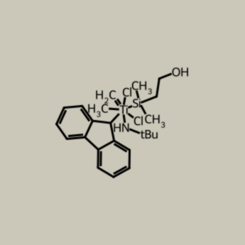 [CH2]=[Ti]([CH3])([Cl])([Cl])([NH]C(C)(C)C)([CH]1c2ccccc2-c2ccccc21)[Si](C)(C)CCO